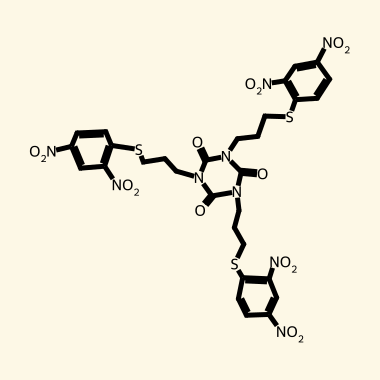 O=c1n(CCCSc2ccc([N+](=O)[O-])cc2[N+](=O)[O-])c(=O)n(CCCSc2ccc([N+](=O)[O-])cc2[N+](=O)[O-])c(=O)n1CCCSc1ccc([N+](=O)[O-])cc1[N+](=O)[O-]